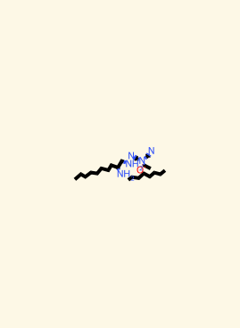 CC(=O)N(C#N)C#N.CCCCCCCC.CCCCCCCCC(N)CN